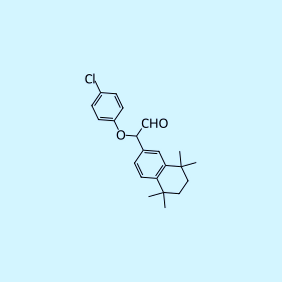 CC1(C)CCC(C)(C)c2cc(C(C=O)Oc3ccc(Cl)cc3)ccc21